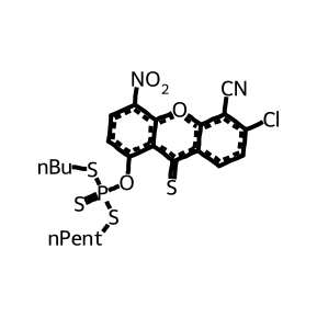 CCCCCSP(=S)(Oc1ccc([N+](=O)[O-])c2oc3c(C#N)c(Cl)ccc3c(=S)c12)SCCCC